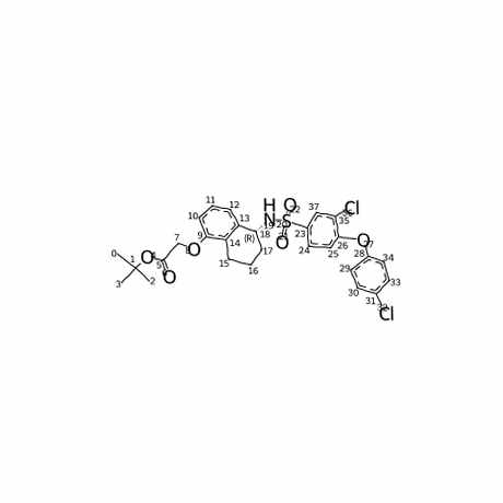 CC(C)(C)OC(=O)COc1cccc2c1CCC[C@H]2NS(=O)(=O)c1ccc(Oc2ccc(Cl)cc2)c(Cl)c1